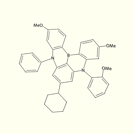 COc1ccc2c(c1)N(c1ccccc1)c1cc(C3CCCCC3)cc3c1B2c1ccc(OC)cc1N3c1ccccc1OC